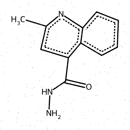 Cc1cc(C(=O)NN)c2ccccc2n1